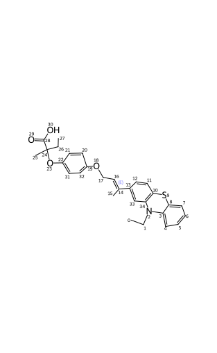 CCN1c2ccccc2Sc2ccc(/C(C)=C/COc3ccc(OC(C)(CC)C(=O)O)cc3)cc21